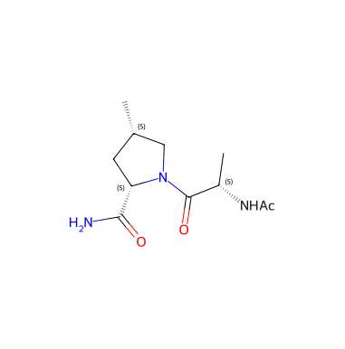 CC(=O)N[C@@H](C)C(=O)N1C[C@@H](C)C[C@H]1C(N)=O